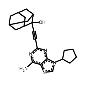 Nc1nc(C#CC2(O)C3CC4CC(C3)CC2C4)nc2c1ncn2C1CCCC1